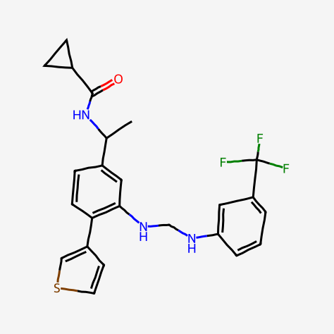 CC(NC(=O)C1CC1)c1ccc(-c2ccsc2)c(NCNc2cccc(C(F)(F)F)c2)c1